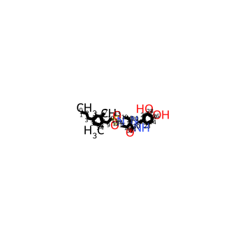 CCCCc1cc(C)c(CCS(=O)(=O)N2CCC3(CC2)N=C(c2ccc(O)c(O)c2)NC3=O)c(C)c1